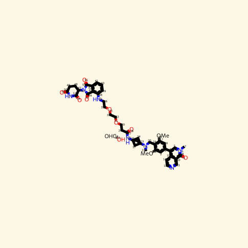 COc1cc(-c2cn(C)c(=O)c3cnccc23)cc(OC)c1CN(C)C12CC(NC(=O)CCOCCOCCNc3cccc4c3C(=O)N(C3CCC(=O)NC3=O)C4=O)(C1)C2.O=CO